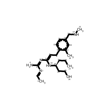 C/C=N/C(N)=N\C(=C\Cc1ccc(CNC)cc1C)N[C@@H](CCC)CCO